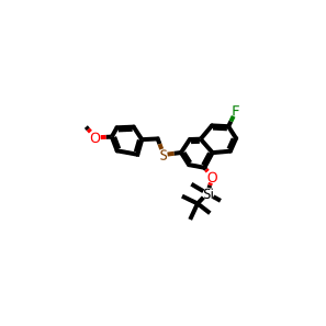 COc1ccc(CSc2cc(O[Si](C)(C)C(C)(C)C)c3ccc(F)cc3c2)cc1